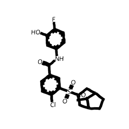 CC1(O)C2CCC1CC(S(=O)(=O)c1cc(C(=O)Nc3ccc(F)c(O)c3)ccc1Cl)C2